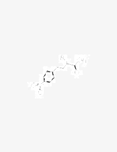 O=C(O)[C@H](Br)CCc1ccc([N+](=O)[O-])cc1